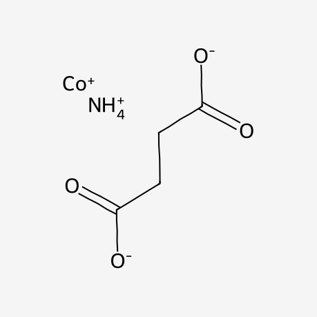 O=C([O-])CCC(=O)[O-].[Co+].[NH4+]